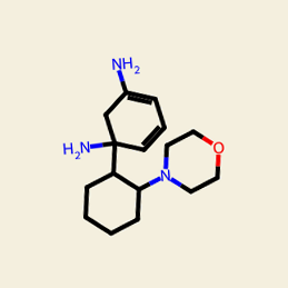 NC1=CC=CC(N)(C2CCCCC2N2CCOCC2)C1